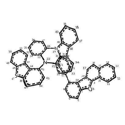 c1cc(-c2cccc3oc4c5ccccc5ccc4c23)cc(N(c2ccccc2-n2c3ccccc3c3ccccc32)c2cccc3sc4ccccc4c23)c1